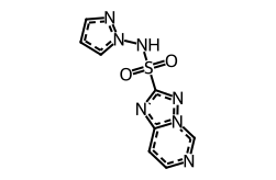 O=S(=O)(Nn1cccn1)c1nc2ccncn2n1